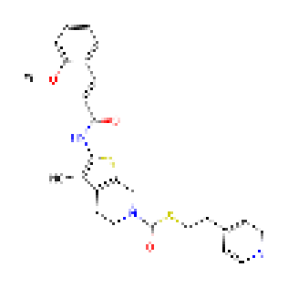 CCOc1ccccc1C=CC(=O)Nc1sc2c(c1C#N)CCN(C(=O)SCCc1ccncc1)C2